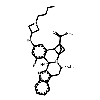 C[C@@H]1Cc2c([nH]c3ccccc23)[C@H]2c3c(F)cc(NC4CN(CCCF)C4)cc3C3C4(C(N)=O)CC3(C4)N21